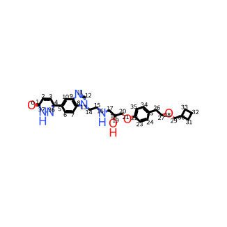 O=c1ccc(-c2ccc3c(c2)ncn3CCNCC(O)COc2ccc(CCOCC3CCC3)cc2)n[nH]1